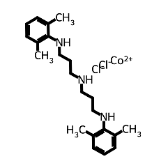 Cc1cccc(C)c1NCCCNCCCNc1c(C)cccc1C.[Cl-].[Cl-].[Co+2]